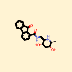 C[C@@H]1N/C(=C/NC(=O)c2cccc3c2C(=O)c2ccccc2-3)[C@@H](O)C[C@@H]1O